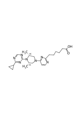 C[C@@H]1CN(c2ccnc(CCCCCC(=O)O)n2)C[C@H](C)N1c1ncnc(C2CC2)n1